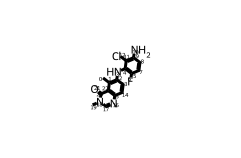 Cc1c(Nc2c(F)ccc(N)c2Cl)ccc2ncn(C)c(=O)c12